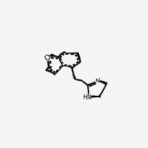 c1cc(CC2=NCCN2)c2ccoc2c1